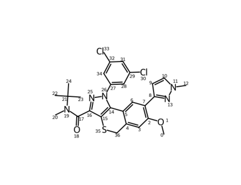 COc1cc2c(cc1-c1ccn(C)n1)-c1c(c(C(=O)N(C)C(C)(C)C)nn1-c1cc(Cl)cc(Cl)c1)SC2